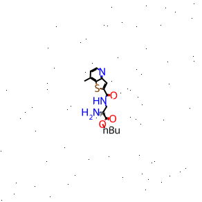 CCCCOC(=O)[C@H](N)CNC(=O)c1cc2nccc(C)c2s1